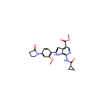 COC(=O)c1cnc(NC(=O)C2CC2)c2[nH]c(-c3ccc(N4CCCC4=O)cc3OC)cc12